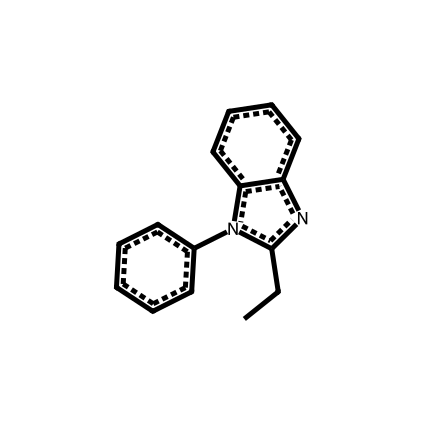 CCc1nc2ccccc2n1-c1ccccc1